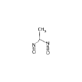 CC(N=O)N=O